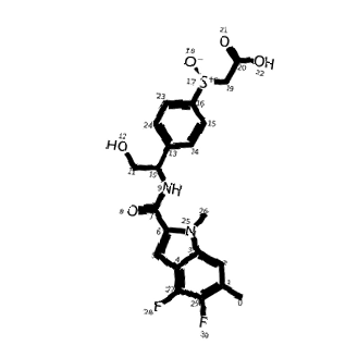 Cc1cc2c(cc(C(=O)NC(CO)c3ccc([S@+]([O-])CC(=O)O)cc3)n2C)c(F)c1F